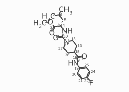 COC(=O)[C@H](CC(C)C)NC(=O)N1CCC(C(=O)Nc2ccc(F)cc2)CC1